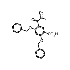 CCN(C)C(=O)c1cc(C(=O)O)c(OCc2ccccc2)cc1OCc1ccccc1